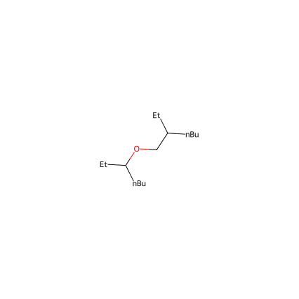 CCCCC(CC)COC(CC)CCCC